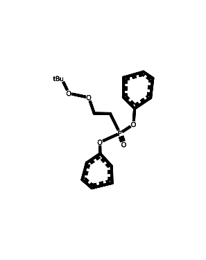 CC(C)(C)OOCCP(=O)(Oc1ccccc1)Oc1ccccc1